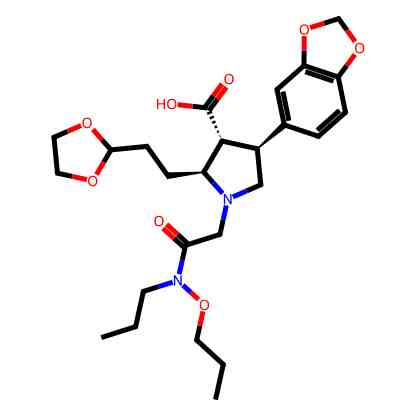 CCCON(CCC)C(=O)CN1C[C@H](c2ccc3c(c2)OCO3)[C@@H](C(=O)O)[C@@H]1CCC1OCCO1